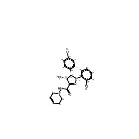 C[C@H]1C(C(=O)NN2CC=CCC2)=NN(c2ccccc2Cl)[C@H]1c1ccc(Cl)cc1